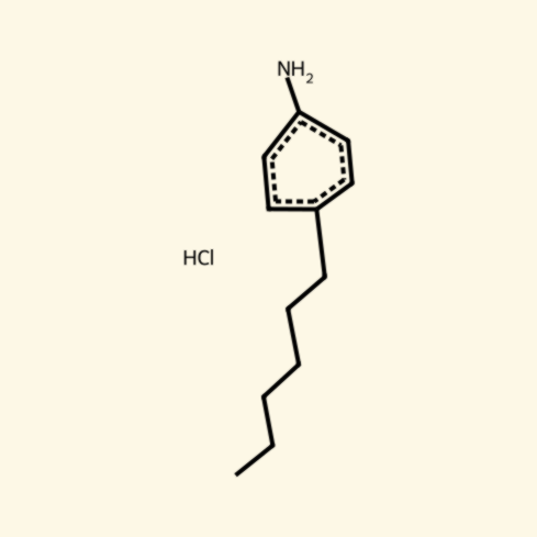 CCCCCCc1ccc(N)cc1.Cl